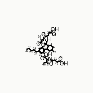 C=C(C)C1CCC(C)=CC1c1c(OC(=O)[C@H](C)NC(=O)CCC(=O)O)cc(CCCCC)cc1OC(=O)[C@@H](NC(=O)CCC(=O)O)C(C)C